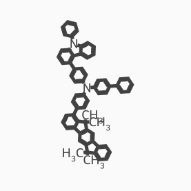 CC1(C)c2ccccc2-c2cc3c(cc21)-c1cccc(-c2ccc(N(c4ccc(-c5ccccc5)cc4)c4ccc(-c5cccc6c5c5ccccc5n6-c5ccccc5)cc4)cc2)c1C3(C)C